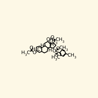 CC(=O)OC1CC[C@@]2(C)C(CC[C@H]3[C@@H]4C(OS(=O)(=O)c5c(C)cc(C)cc5C)C[C@H](C(C)=O)[C@@]4(C)C(O)C[C@@H]32)C1